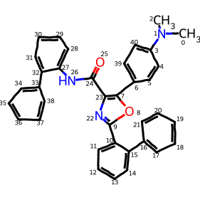 CN(C)c1ccc(-c2oc(-c3ccccc3-c3ccccc3)nc2C(=O)Nc2ccccc2-c2ccccc2)cc1